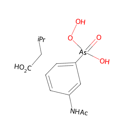 CC(=O)Nc1cccc([As](=O)(O)OO)c1.CC(C)CC(=O)O